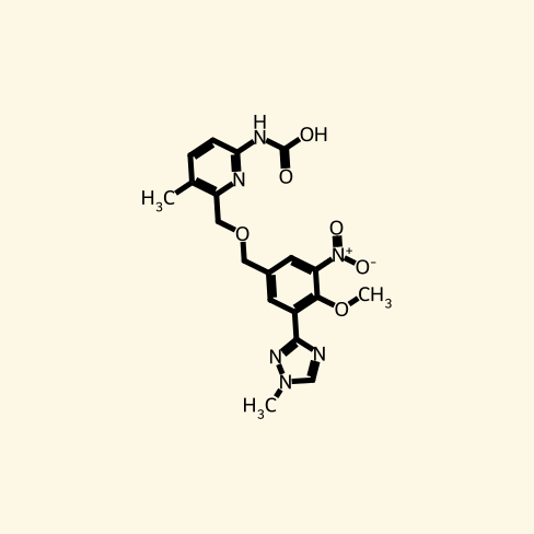 COc1c(-c2ncn(C)n2)cc(COCc2nc(NC(=O)O)ccc2C)cc1[N+](=O)[O-]